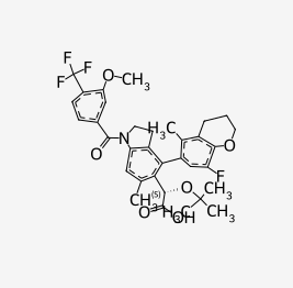 COc1cc(C(=O)N2CCc3c2cc(C)c([C@H](OC(C)(C)C)C(=O)O)c3-c2cc(F)c3c(c2C)CCCO3)ccc1C(F)(F)F